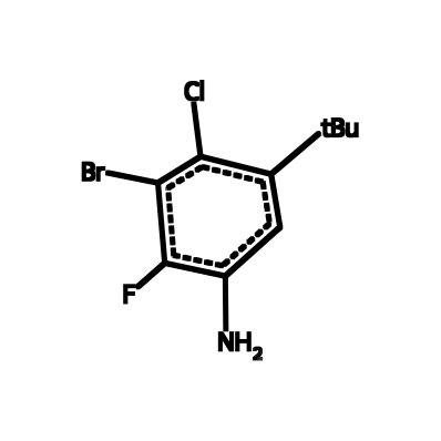 CC(C)(C)c1cc(N)c(F)c(Br)c1Cl